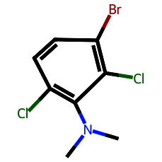 CN(C)c1c(Cl)ccc(Br)c1Cl